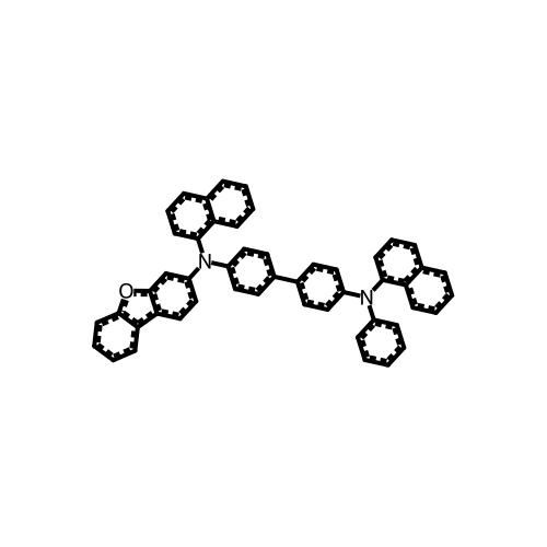 c1ccc(N(c2ccc(-c3ccc(N(c4ccc5c(c4)oc4ccccc45)c4cccc5ccccc45)cc3)cc2)c2cccc3ccccc23)cc1